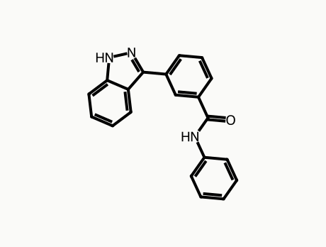 O=C(Nc1ccccc1)c1cccc(-c2n[nH]c3ccccc23)c1